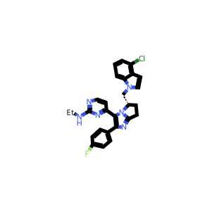 CCNc1nccc(-c2c(-c3ccc(F)cc3)nc3n2[C@H](Cn2ccc4c(Cl)cccc42)CC3)n1